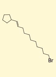 BrCCCCCCCCCC=CC1CCCC1